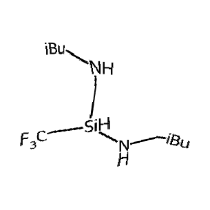 CCC(C)N[SiH](NC(C)CC)C(F)(F)F